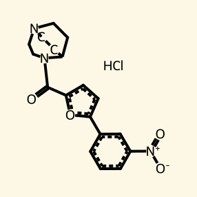 Cl.O=C(c1ccc(-c2cccc([N+](=O)[O-])c2)o1)N1CCN2CCC1CC2